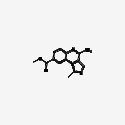 COC(=O)c1ccc2nc(N)c3cnc(C)n3c2c1